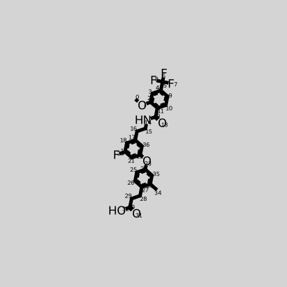 COc1cc(C(F)(F)F)ccc1C(=O)NCCc1cc(F)cc(Oc2ccc(CCC(=O)O)c(C)c2)c1